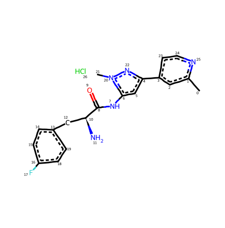 Cc1cc(-c2cc(NC(=O)[C@@H](N)Cc3ccc(F)cc3)n(C)n2)ccn1.Cl